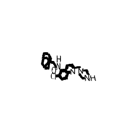 O=C(CC12CC3CC(CC(C3)C1)C2)Nc1c(Cl)ccc2nc(CN3CCNCC3)ccc12